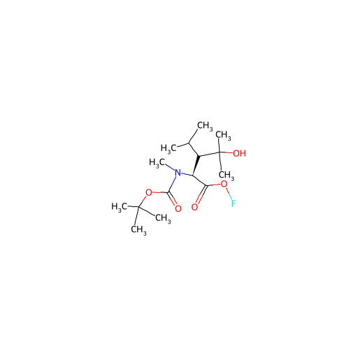 CC(C)C([C@@H](C(=O)OF)N(C)C(=O)OC(C)(C)C)C(C)(C)O